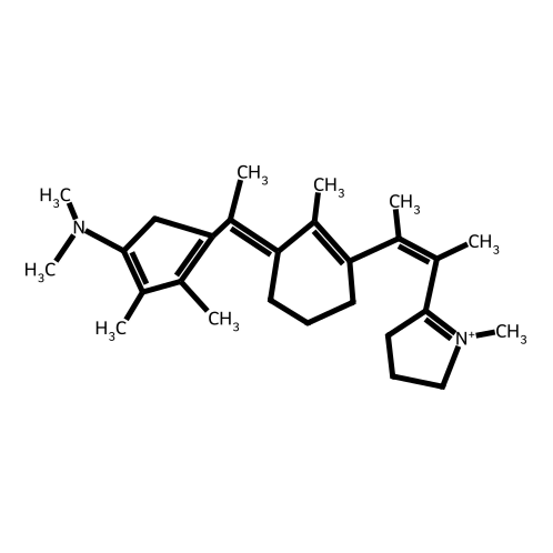 CC1=C(/C(C)=C2\CCCC(C(/C)=C(/C)C3=[N+](C)CCC3)=C2C)CC(N(C)C)=C1C